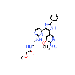 COCC(=O)NCCNc1nccc(-c2nc(-c3ccccc3)[nH]c2C2=CC(OC)C(N)N=C2)n1